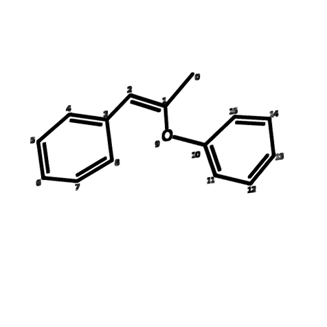 CC(=Cc1ccccc1)Oc1ccccc1